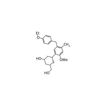 CCOc1ccc(Cc2cc(C3CC(O)CC(CO)S3)c(OC)cc2C)cc1